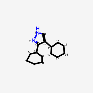 c1[nH]nc(C2CCCCC2)c1C1CCCCC1